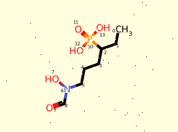 CCC(CCCN(O)C=O)P(=O)(O)O